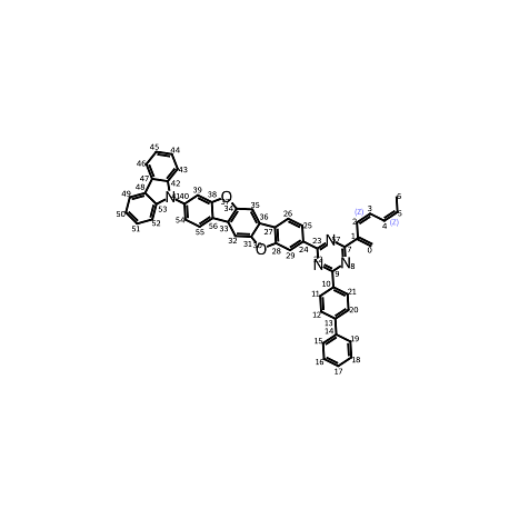 C=C(/C=C\C=C/C)c1nc(-c2ccc(-c3ccccc3)cc2)nc(-c2ccc3c(c2)oc2cc4c(cc23)oc2cc(-n3c5ccccc5c5ccccc53)ccc24)n1